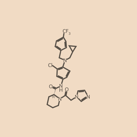 O=C(Nc1ccc(N(Cc2ccc(C(F)(F)F)cc2)CC2CC2)c(Cl)c1)[C@H]1CCCCN1C(=O)Cn1ccnc1